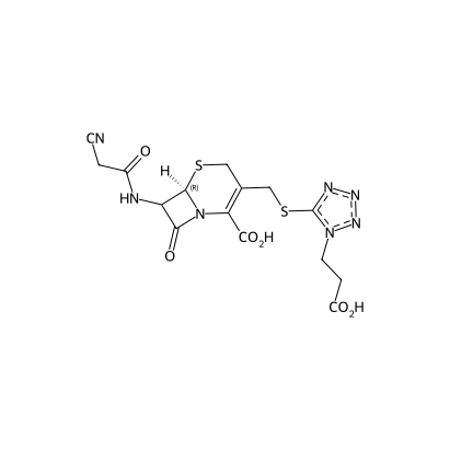 N#CCC(=O)NC1C(=O)N2C(C(=O)O)=C(CSc3nnnn3CCC(=O)O)CS[C@H]12